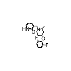 CC1CC(Oc2c(F)cccc2F)CCN1Cc1ccc[nH]c1=O